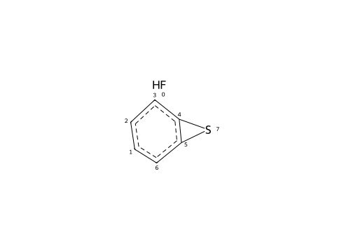 F.c1ccc2c(c1)S2